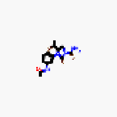 CC(=O)Nc1ccc2c(c1)N1C(=S)N(C(N)=S)CC1C(C)S2